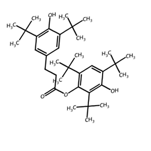 CC(C)(C)c1cc(CCC(=O)Oc2c(C(C)(C)C)cc(C(C)(C)C)c(O)c2C(C)(C)C)cc(C(C)(C)C)c1O